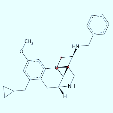 COc1cc(CC2CC2)c2c(c1)[C@@]13CCN[C@H](C2)[C@]12CC[C@@](NCc1ccccc1)(CO2)C3